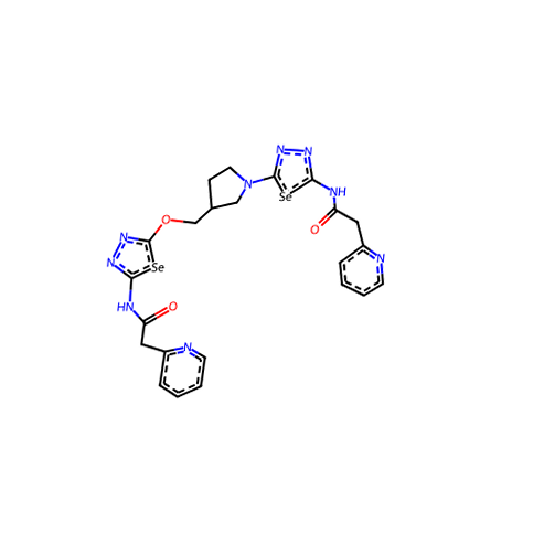 O=C(Cc1ccccn1)Nc1nnc(OCC2CCN(c3nnc(NC(=O)Cc4ccccn4)[se]3)C2)[se]1